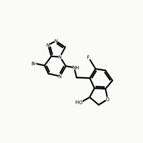 OC1COc2ccc(F)c(CNc3ncc(Br)c4nncn34)c21